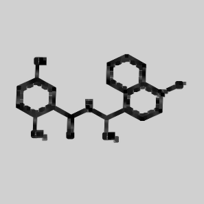 Cc1ccc(C#N)cc1C(=O)NC(C)c1cc[n+]([O-])c2ccccc12